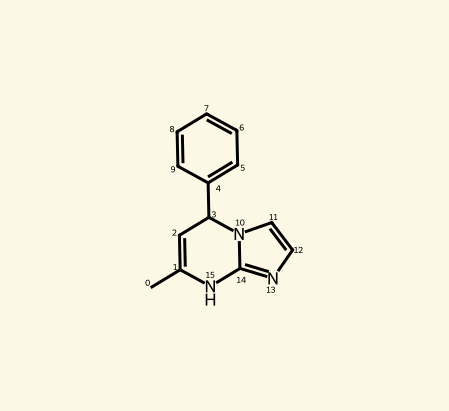 CC1=CC(c2ccccc2)n2ccnc2N1